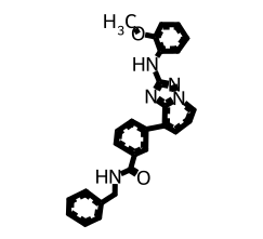 COc1ccccc1Nc1nc2c(-c3cccc(C(=O)NCc4ccccc4)c3)cccn2n1